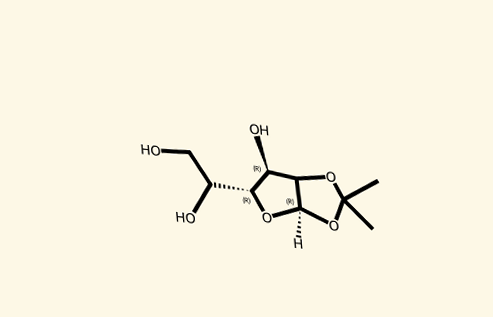 CC1(C)OC2[C@H](O[C@H](C(O)CO)[C@H]2O)O1